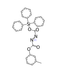 Cc1cccc(OC(=O)/N=N/C(=O)O[Si](c2ccccc2)(c2ccccc2)c2ccccc2)c1